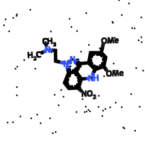 COc1cc(OC)c2c(c1)-c1nn(CCN(C)C)c3ccc([N+](=O)[O-])c(c13)N2